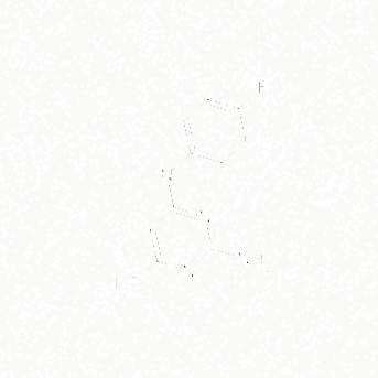 Cc1cc(Nc2ccc(F)cc2)nc(N)n1